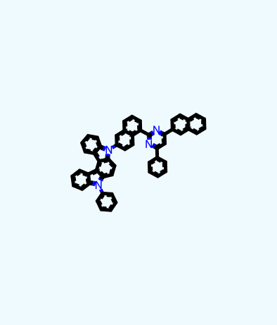 c1ccc(-c2cc(-c3ccc4ccccc4c3)nc(-c3cccc4cc(-n5c6ccccc6c6c7c8ccccc8n(-c8ccccc8)c7ccc65)ccc34)n2)cc1